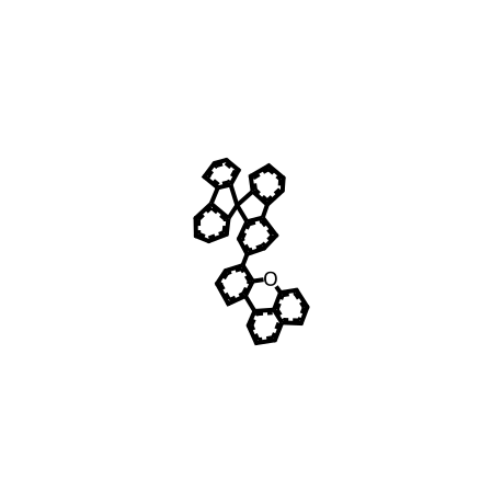 c1ccc2c(c1)-c1ccccc1C21c2ccccc2-c2ccc(-c3cccc4c3Oc3cccc5cccc-4c35)cc21